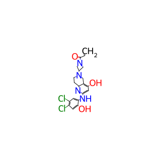 C=CC(=O)N1CC(N2CCc3nc(Nc4cc(Cl)c(Cl)cc4O)cc(O)c3C2)C1